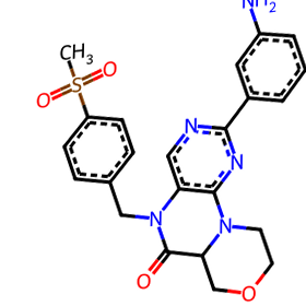 CS(=O)(=O)c1ccc(CN2C(=O)C3COCCN3c3nc(-c4cccc(N)c4)ncc32)cc1